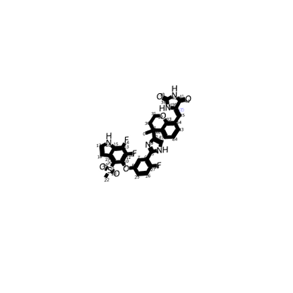 CC1(c2c[nH]c(-c3cc(Oc4c(F)c(F)c5[nH]ccc5c4S(C)(=O)=O)ccc3F)n2)CCOc2c(/C=C3\NC(=O)NC3=O)cccc21